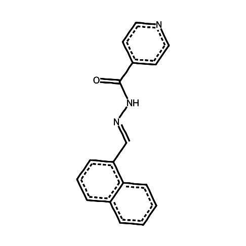 O=C(NN=Cc1cccc2ccccc12)c1ccncc1